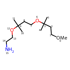 COCCC(C)(C)OCCC(C)(C)OCCN